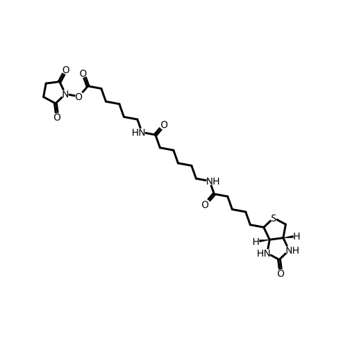 O=C(CCCCCNC(=O)CCCCC1SC[C@@H]2NC(=O)N[C@H]12)NCCCCCC(=O)ON1C(=O)CCC1=O